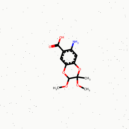 COC1Oc2cc(C(=O)O)c(N)cc2OC1(C)OC